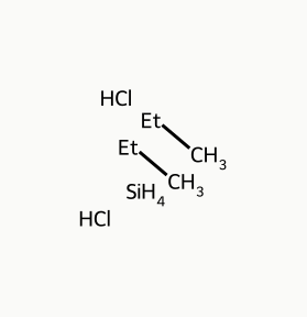 CCC.CCC.Cl.Cl.[SiH4]